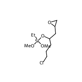 CC[Si](OC)(OC)OC(CCCCl)CC1CO1